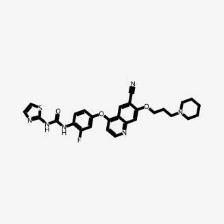 N#Cc1cc2c(Oc3ccc(NC(=O)Nc4nccs4)c(F)c3)ccnc2cc1OCCCN1CCCCC1